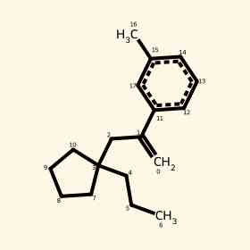 C=C(CC1(CCC)CCCC1)c1cccc(C)c1